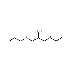 CCCSCC(O)CSCC